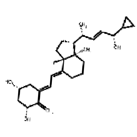 C=C1/C(=C/C=C2\CCC[C@]3(C)[C@@H]([C@H](C)/C=C/[C@@H](O)C4CC4)CC[C@@H]23)C[C@@H](O)C[C@H]1O